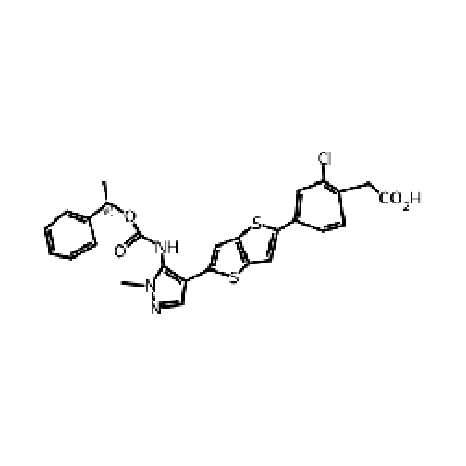 C[C@@H](OC(=O)Nc1c(-c2cc3sc(-c4ccc(CC(=O)O)c(Cl)c4)cc3s2)cnn1C)c1ccccc1